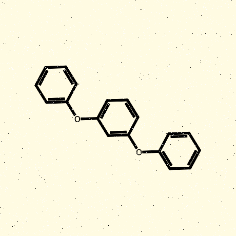 [c]1ccccc1Oc1cccc(Oc2[c]cccc2)c1